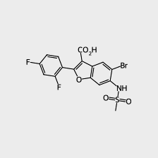 CS(=O)(=O)Nc1cc2oc(-c3ccc(F)cc3F)c(C(=O)O)c2cc1Br